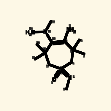 CN=S1(=O)CC(C)(C)C(N)=C(N(C)N)C(C)(C)C1